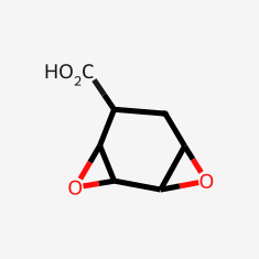 O=C(O)C1CC2OC2C2OC12